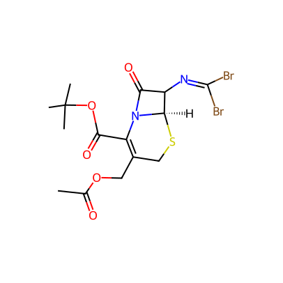 CC(=O)OCC1=C(C(=O)OC(C)(C)C)N2C(=O)C(N=C(Br)Br)[C@H]2SC1